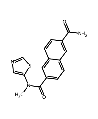 CN(C(=O)c1ccc2cc(C(N)=O)ccc2c1)c1cncs1